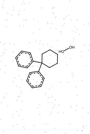 OO.c1ccc(C2(c3ccccc3)CCCCC2)cc1